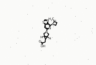 C[C@H]1CCN1c1nc(N2C[C@@H]3C(CC(=O)O)[C@@H]3C2)cc2scnc12